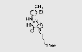 CCc1cc(Nc2nc3ncn(CCCCCSC)c3c(=O)[nH]2)ccc1C